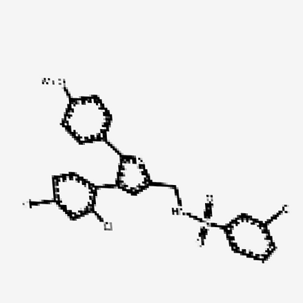 COc1ccc(-c2sc(CNS(=O)(=O)c3cccc(Cl)c3)cc2-c2ccc(Cl)cc2Cl)cc1